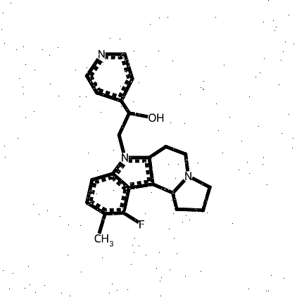 Cc1ccc2c(c1F)c1c(n2CC(O)c2ccncc2)CCN2CCCC12